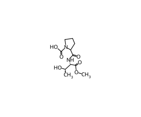 COC(=O)[C@@H](NC(=O)C1CCCN1C(=O)O)[C@@H](C)O